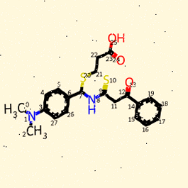 CN(C)c1ccc(C(NC(=S)CC(=O)c2ccccc2)SCCC(=O)O)cc1